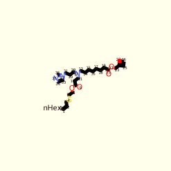 CCCCCC/C=C\CSCCOC(=O)CCN(CCCCCCCC(=O)OCC12CC(C1)C2)CCCn1ccnc1